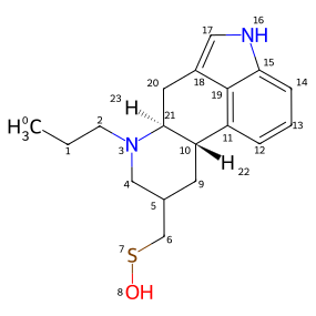 CCCN1CC(CSO)C[C@H]2c3cccc4[nH]cc(c34)C[C@@H]21